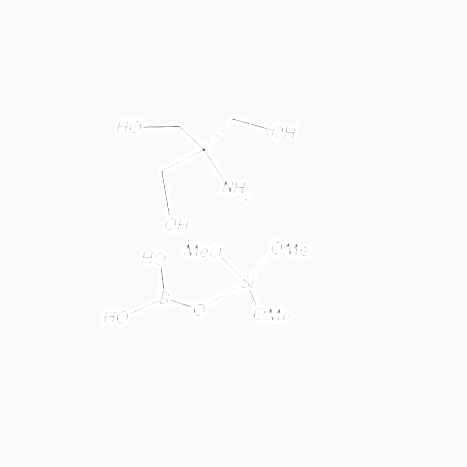 CO[Si](OC)(OC)OB(O)O.NC(CO)(CO)CO